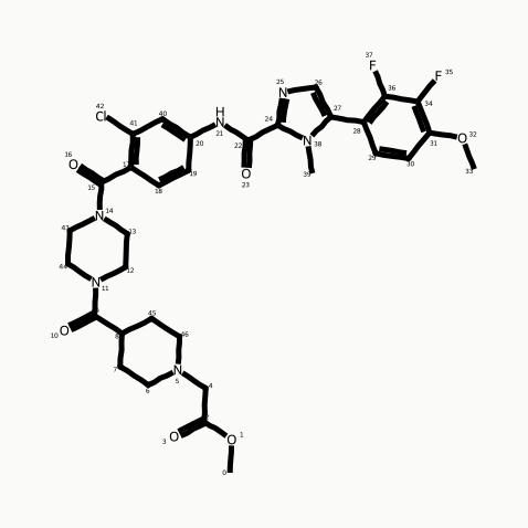 COC(=O)CN1CCC(C(=O)N2CCN(C(=O)c3ccc(NC(=O)c4ncc(-c5ccc(OC)c(F)c5F)n4C)cc3Cl)CC2)CC1